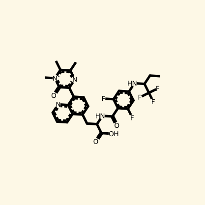 CCC(Nc1cc(F)c(C(=O)NC(Cc2ccc(-c3nc(C)c(C)n(C)c3=O)c3ncccc23)C(=O)O)c(F)c1)C(F)(F)F